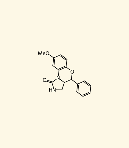 COc1ccc2c(c1)N1C(=O)NCC1C(c1ccccc1)O2